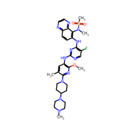 COc1nc(N2CCC(N3CCN(C)CC3)CC2)c(C)cc1Nc1ncc(F)c(Nc2ccc3nccnc3c2N(C)S(C)(=O)=O)n1